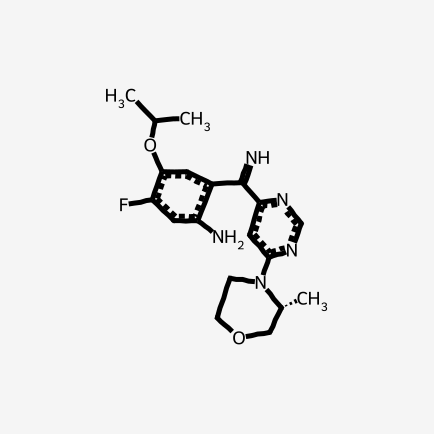 CC(C)Oc1cc(C(=N)c2cc(N3CCOC[C@H]3C)ncn2)c(N)cc1F